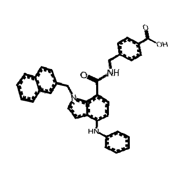 O=C(O)c1ccc(CNC(=O)c2ccc(Nc3ccccc3)c3ccn(Cc4ccc5ccccc5c4)c23)cc1